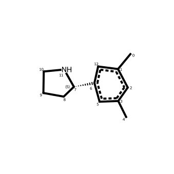 Cc1cc(C)cc([C@@H]2CCCN2)c1